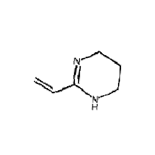 C=CC1=NCCCN1